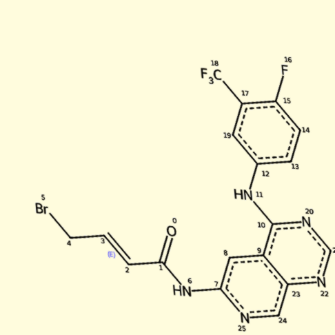 O=C(/C=C/CBr)Nc1cc2c(Nc3ccc(F)c(C(F)(F)F)c3)ncnc2cn1